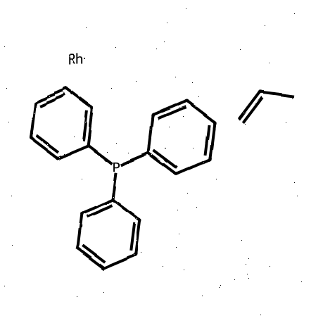 C=CC.[Rh].c1ccc(P(c2ccccc2)c2ccccc2)cc1